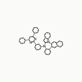 c1ccc(-c2cc(-c3ccccc3)nc(-c3cccc(N4c5ccccc5-c5cc6ccccc6cc5-n5c4cc4ccccc45)c3)n2)cc1